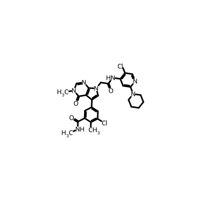 CNC(=O)c1cc(-c2cn(CC(=O)Nc3cc(N4CCCCC4)ncc3Cl)c3ncn(C)c(=O)c23)cc(Cl)c1C